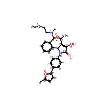 COCCN(C)C(=O)c1ccccc1C1C(C(=O)C(C)C)=C(O)C(=O)N1c1ccc(-c2ccc(C)o2)cc1